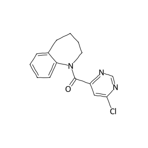 O=C(c1cc(Cl)ncn1)N1CCCCc2ccccc21